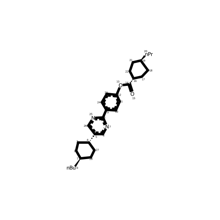 CCCC[C@H]1CC[C@H](c2cnc(-c3ccc(OC(=O)[C@H]4CC[C@H](CCC)CC4)cc3)nc2)CC1